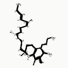 Cc1c(C)c2c(c(CCCO)c1O)CC[C@@](C)(CCC[C@H](C)CCC[C@H](C)CCCC(C)C)O2